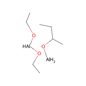 CCC(C)[O][AlH2].CC[O][AlH][O]CC